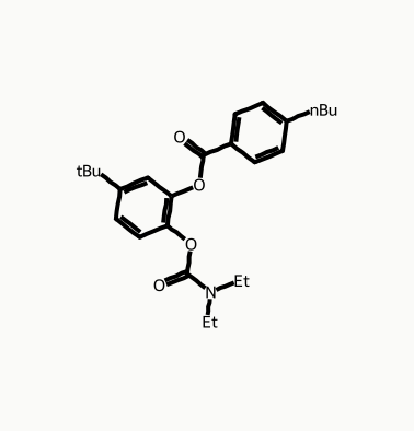 CCCCc1ccc(C(=O)Oc2cc(C(C)(C)C)ccc2OC(=O)N(CC)CC)cc1